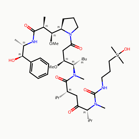 CC[C@@H](C)[C@H]([C@H](CC(=O)N1CCC[C@@H]1[C@@H](OC)[C@H](C)C(=O)N[C@@H](C)[C@H](O)c1ccccc1)OC)N(C)C(=O)[C@H](CC(=O)[C@@H](C(C)C)N(C)C(=O)NCCC[Si](C)(C)O)C(C)C